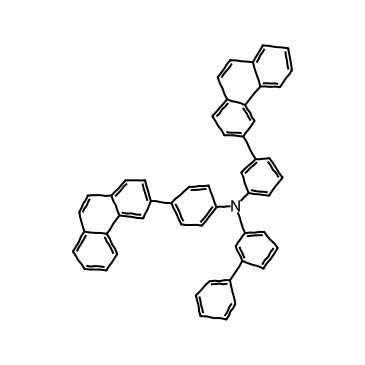 c1ccc(-c2cccc(N(c3ccc(-c4ccc5ccc6ccccc6c5c4)cc3)c3cccc(-c4ccc5ccc6ccccc6c5c4)c3)c2)cc1